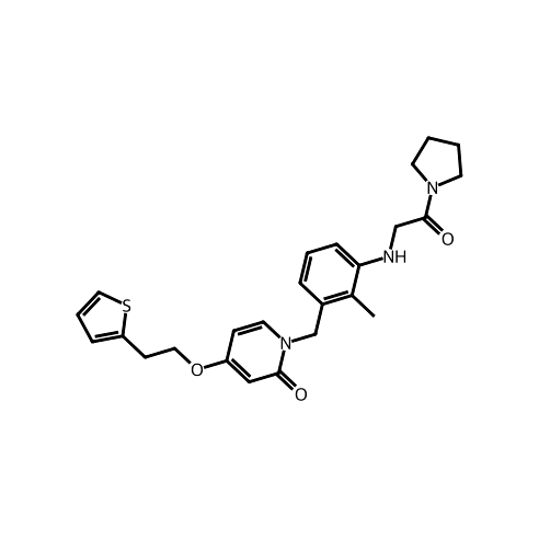 Cc1c(Cn2ccc(OCCc3cccs3)cc2=O)cccc1NCC(=O)N1CCCC1